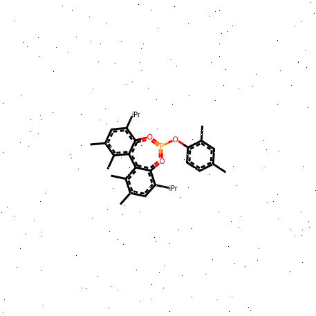 Cc1ccc(Op2oc3c(C(C)C)cc(C)c(C)c3c3c(C)c(C)cc(C(C)C)c3o2)c(C)c1